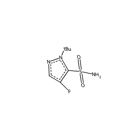 CC(C)(C)n1ncc(F)c1S(N)(=O)=O